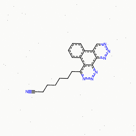 N#CCCCCCCc1nnnc2c3nnncc3c3ccccc3c12